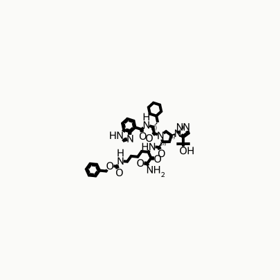 CC(C)(O)c1cnnn1[C@H]1C[C@@H](C(=O)NC(CCCCNC(=O)OCc2ccccc2)C(=O)C(N)=O)N(C(=O)[C@@H](CC2CCCCC2)NC(=O)c2cccc3[nH]cnc23)C1